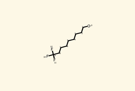 [O]CCCCCCCCC(F)(F)F